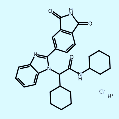 O=C1NC(=O)c2cc(-c3nc4ccccc4n3C(C(=O)NC3CCCCC3)C3CCCCC3)ccc21.[Cl-].[H+]